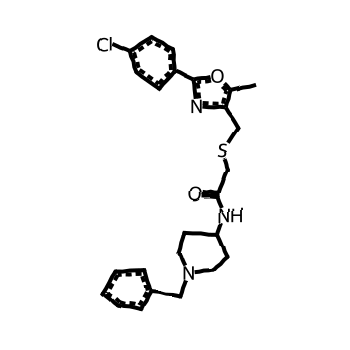 Cc1oc(-c2ccc(Cl)cc2)nc1CSCC(=O)NC1CCN(Cc2ccccc2)CC1